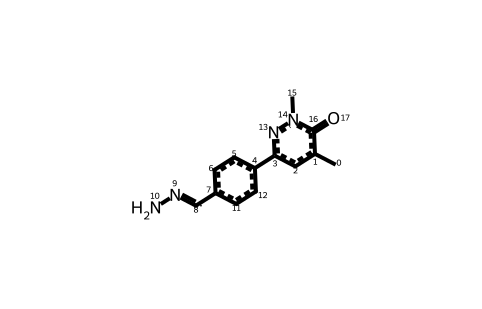 Cc1cc(-c2ccc(/[C]=N/N)cc2)nn(C)c1=O